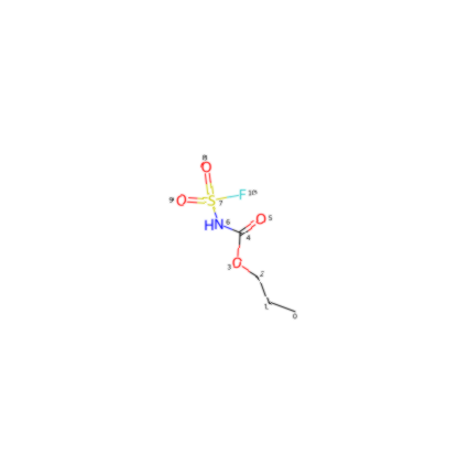 CCCOC(=O)NS(=O)(=O)F